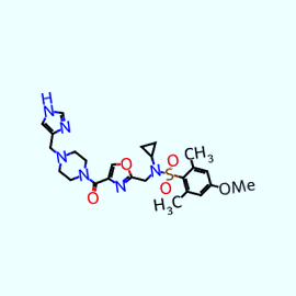 COc1cc(C)c(S(=O)(=O)N(Cc2nc(C(=O)N3CCN(Cc4c[nH]cn4)CC3)co2)C2CC2)c(C)c1